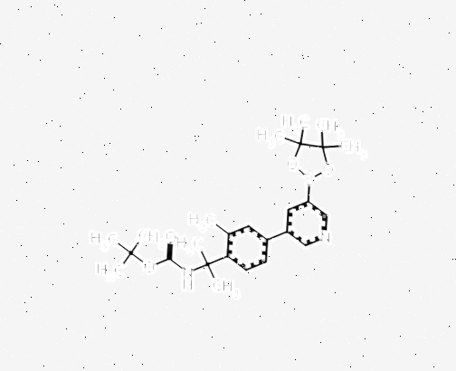 Cc1cc(-c2cncc(B3OC(C)(C)C(C)(C)O3)c2)ccc1C(C)(C)NC(=O)OC(C)(C)C